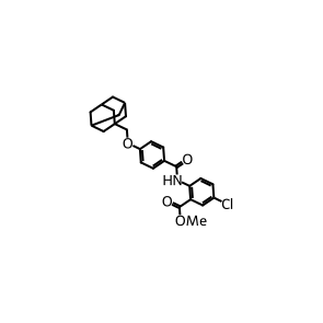 COC(=O)c1cc(Cl)ccc1NC(=O)c1ccc(OCC23CC4CC(CC(C4)C2)C3)cc1